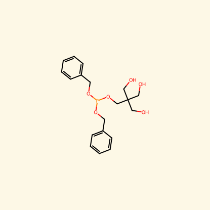 OCC(CO)(CO)COP(OCc1ccccc1)OCc1ccccc1